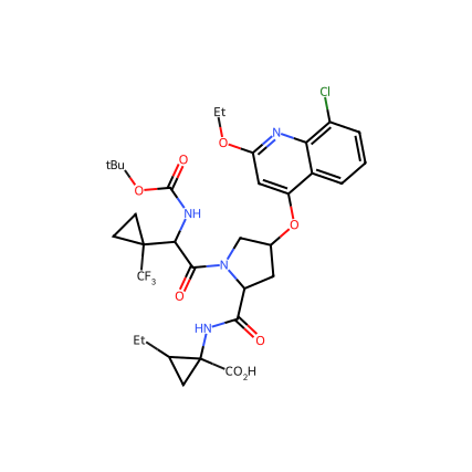 CCOc1cc(OC2CC(C(=O)NC3(C(=O)O)CC3CC)N(C(=O)C(NC(=O)OC(C)(C)C)C3(C(F)(F)F)CC3)C2)c2cccc(Cl)c2n1